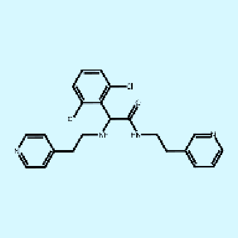 O=C(NCCc1cccnc1)C(NCCc1ccncc1)c1c(Cl)cccc1Cl